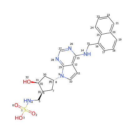 O=S(=O)(O)NC[C@@H]1C[C@@H](n2ccc3c(NCc4cccc5ccccc45)ncnc32)C[C@@H]1O